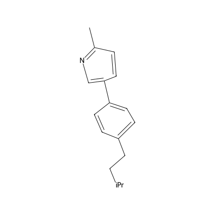 Cc1ccc(-c2ccc(CCC(C)C)cc2)cn1